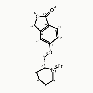 CCN1CCCC[C@@H]1COc1ccc2c(c1)COC2=O